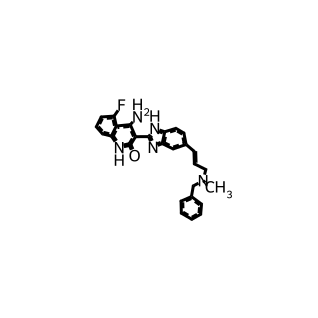 CN(CC=Cc1ccc2[nH]c(-c3c(N)c4c(F)cccc4[nH]c3=O)nc2c1)Cc1ccccc1